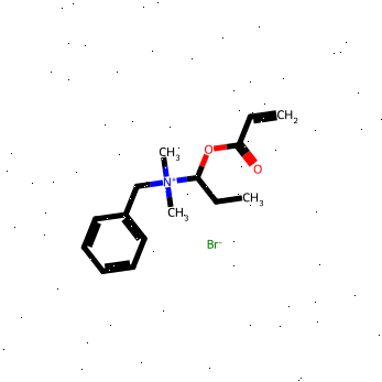 C=CC(=O)OC(CC)[N+](C)(C)Cc1ccccc1.[Br-]